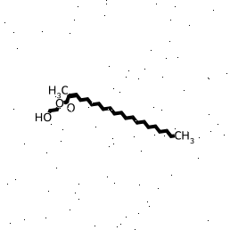 CCCCCCCCCCCCCCCCCCC=C(C)C(=O)OCCO